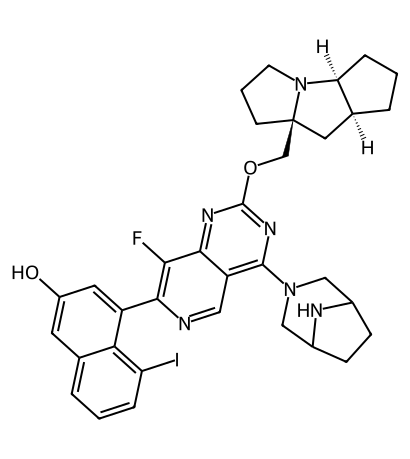 Oc1cc(-c2ncc3c(N4CC5CCC(C4)N5)nc(OC[C@@]45CCCN4[C@H]4CCC[C@H]4C5)nc3c2F)c2c(I)cccc2c1